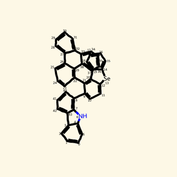 c1ccc2c(c1)[nH]c1c(-c3ccc4[se]c5ccccc5c4c3-c3cccc4c5ccccc5c5ccccc5c34)cccc12